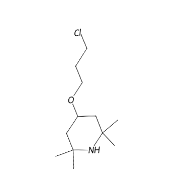 CC1(C)CC(OCCCCl)CC(C)(C)N1